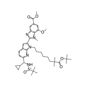 COC(=O)c1cc(OC)c2c(c1)nc(-c1cc3ccc(C(N[S+]([O-])C(C)(C)C)C4CC4)nc3n1CCCCCCC(C)(C)C(=O)OC(C)(C)C)n2C